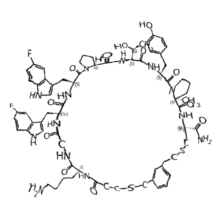 C[C@H](O)[C@@H]1NC(=O)[C@@H]2CCCN2C(=O)[C@H](Cc2c[nH]c3ccc(F)cc23)NC(=O)[C@H](Cc2c[nH]c3ccc(F)cc23)NC(=O)CNC(=O)[C@H](CCCCN)NC(=O)CCSCc2cccc(c2)CSC[C@@H](C(N)=O)NC(=O)[C@]2(C)CCCN2C(=O)[C@H](Cc2ccc(O)cc2)NC1=O